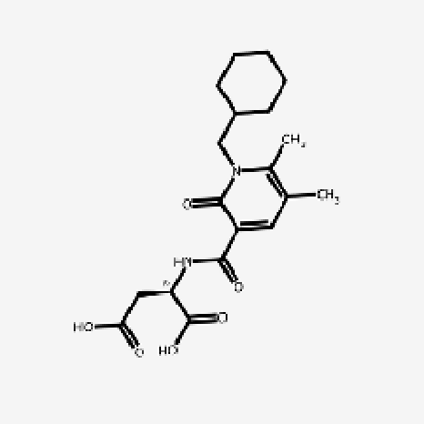 Cc1cc(C(=O)N[C@H](CC(=O)O)C(=O)O)c(=O)n(CC2CCCCC2)c1C